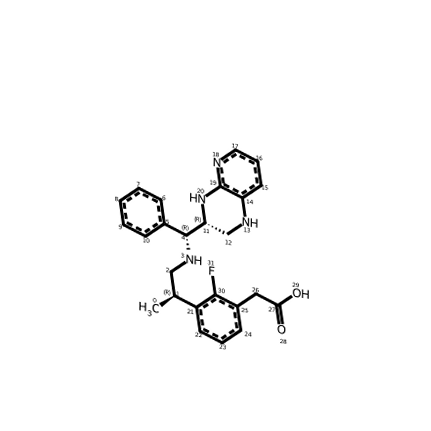 C[C@@H](CN[C@H](c1ccccc1)[C@H]1CNc2cccnc2N1)c1cccc(CC(=O)O)c1F